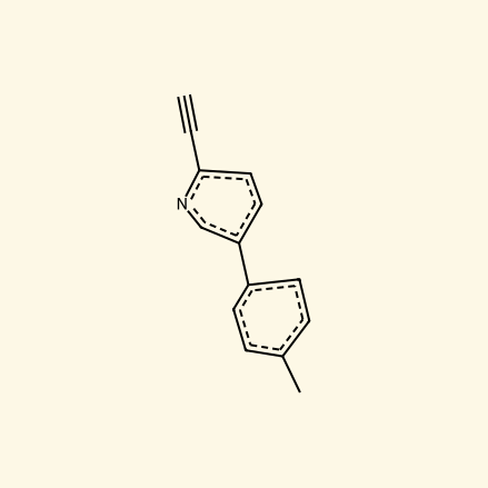 C#Cc1ccc(-c2ccc(C)cc2)cn1